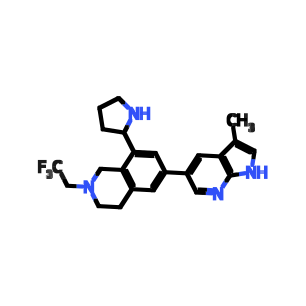 Cc1c[nH]c2ncc(-c3cc4c(c(C5CCCN5)c3)CN(CC(F)(F)F)CC4)cc12